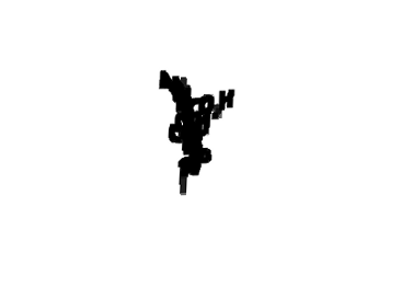 O=C(N[C@@H](Cn1cc(C2CC2)nn1)C(=O)O)c1c(Cl)cc2c(c1Cl)CCN(C(=O)c1ccc(I)cc1)C2